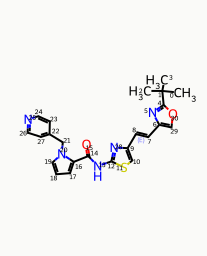 CC(C)(C)c1nc(/C=C/c2csc(NC(=O)c3cccn3Cc3ccncc3)n2)co1